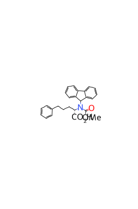 COC(=O)N(C1c2ccccc2-c2ccccc21)[C@@H](CCCc1ccccc1)C(=O)O